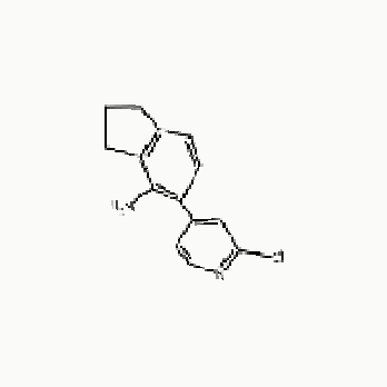 Nc1c(-c2ccnc(Cl)c2)ccc2c1CCC2